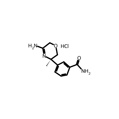 C[C@@]1(c2cccc(C(N)=O)c2)COCC(N)=N1.Cl